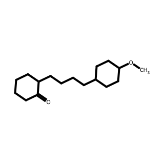 COC1CCC(CCCCC2CCCCC2=O)CC1